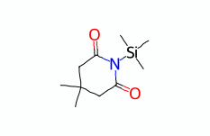 CC1(C)CC(=O)N([Si](C)(C)C)C(=O)C1